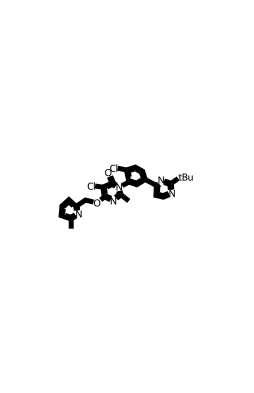 Cc1cccc(COc2nc(C)n(-c3cc(-c4ccnc(C(C)(C)C)n4)ccc3Cl)c(=O)c2Cl)n1